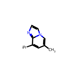 Cc1cc(C(C)C)c2nccn2c1